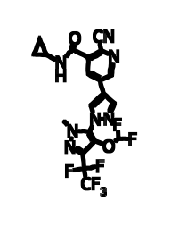 Cn1nc(C(F)(F)C(F)(F)F)c(OC(F)F)c1-n1cc(-c2cnc(C#N)c(C(=O)NC3CC3)c2)cn1